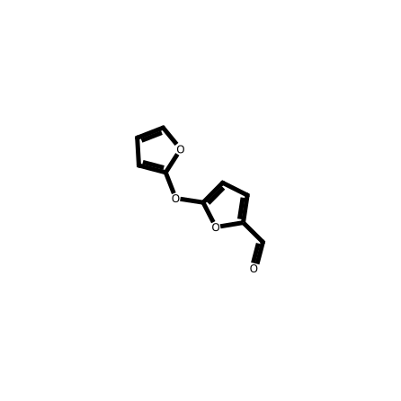 O=Cc1ccc(Oc2ccco2)o1